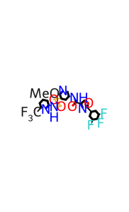 COc1ncc(NC(=O)c2coc(-c3cc(F)c(F)c(F)c3)n2)cc1S(=O)(=O)Nc1cccc(C(F)(F)F)n1